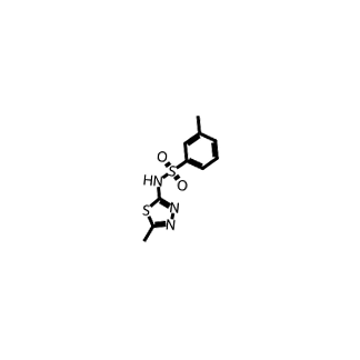 Cc1cccc(S(=O)(=O)Nc2nnc(C)s2)c1